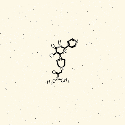 CN(C)C(=O)CN1CCN(c2nc(-c3ccncc3)[nH]c(=O)c2Cl)CC1